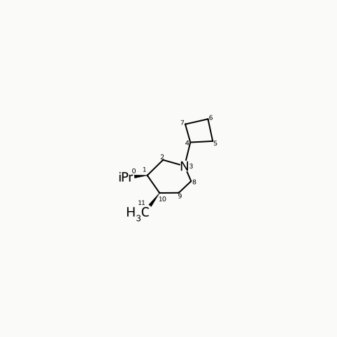 CC(C)[C@H]1CN(C2CCC2)CC[C@H]1C